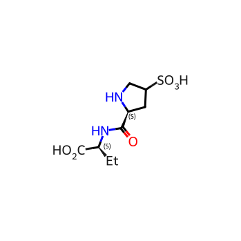 CC[C@H](NC(=O)[C@@H]1CC(S(=O)(=O)O)CN1)C(=O)O